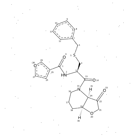 O=C(N[C@@H](CSCc1ccccc1)C(=O)N1CCC[C@@H]2OCC(=O)[C@@H]21)c1ccoc1